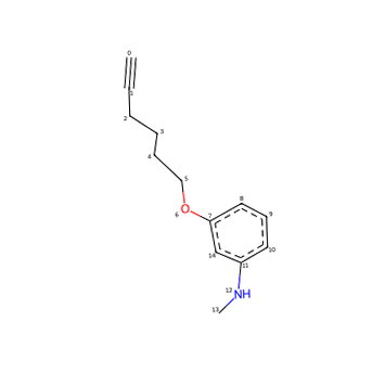 C#CCCCCOc1cccc(NC)c1